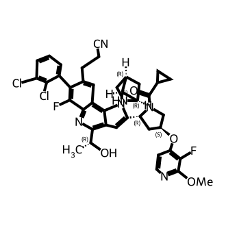 COc1nccc(O[C@H]2C[C@H](c3cc4c([C@@H](C)O)nc5c(F)c(-c6cccc(Cl)c6Cl)c(CCC#N)cc5c4n3[C@H]3[C@H]4CN[C@@H]3C4)N(C(=O)C3CC3)C2)c1F